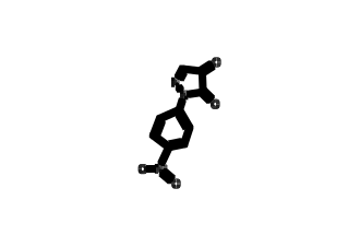 O=C1C=NN(c2ccc([N+](=O)[O-])cc2)C1=O